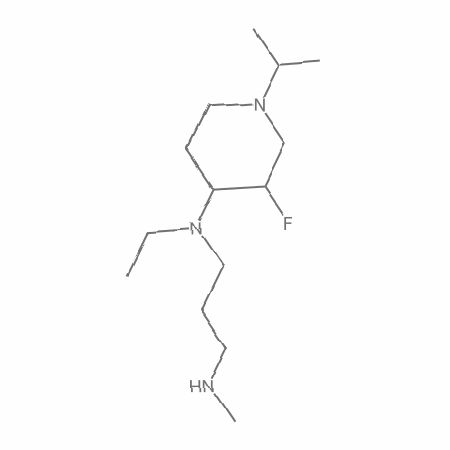 CCN(CCCNC)C1CCN(C(C)C)CC1F